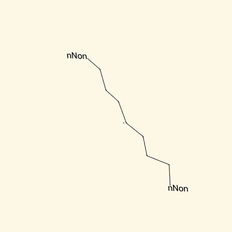 [CH2]CCCCCCCCCCC[CH]CCCCCCCCCCCC